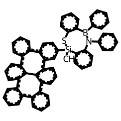 C[Si]1(c2ccc3c(c2)c2cccc4c2-c2c(cccc2c2ccccc23)c2ccccc2c2ccccc42)Sc2ccccc2B(c2ccccc2)N(c2ccccc2)c2ccccc21